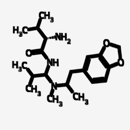 CC(C)C(NC(=O)[C@@H](N)C(C)C)N(C)C(C)Cc1ccc2c(c1)OCO2